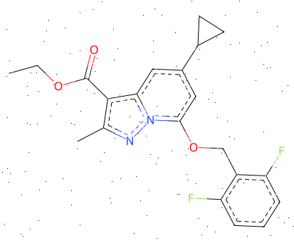 CCOC(=O)c1c(C)nn2c(OCc3c(F)cccc3F)cc(C3CC3)cc12